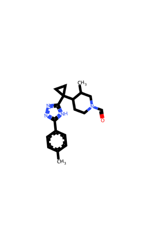 Cc1ccc(-c2nnc(C3(C4CCN(C=O)CC4C)CC3)[nH]2)cc1